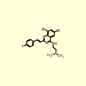 CN(C)CCNc1nc(C=Cc2ccc(F)cc2)nc2c(Br)cc(Br)cc12